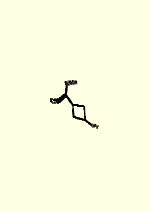 CNC(=O)C1CC(C(C)C)C1